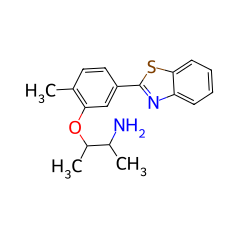 Cc1ccc(-c2nc3ccccc3s2)cc1OC(C)C(C)N